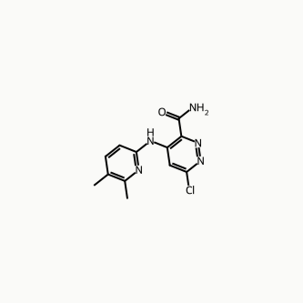 Cc1ccc(Nc2cc(Cl)nnc2C(N)=O)nc1C